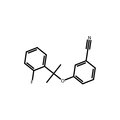 CC(C)(Oc1cccc(C#N)c1)c1ccccc1F